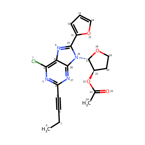 CCC#Cc1nc(Cl)c2nc(-c3ccco3)n([C@@H]3OCC[C@H]3OC(C)=O)c2n1